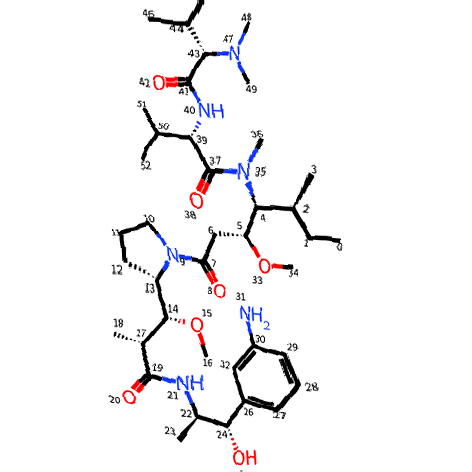 CC[C@H](C)[C@@H]([C@@H](CC(=O)N1CCC[C@H]1[C@H](OC)[C@@H](C)C(=O)N[C@H](C)[C@@H](O)c1cccc(N)c1)OC)N(C)C(=O)[C@@H](NC(=O)[C@H](C(C)C)N(C)C)C(C)C